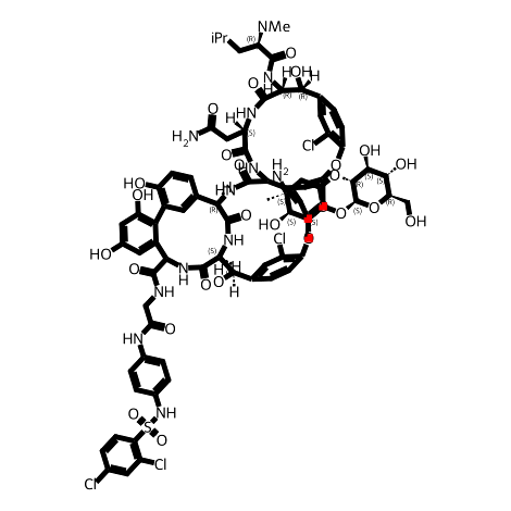 CN[C@H](CC(C)C)C(=O)N[C@H]1C(=O)N[C@@H](CC(N)=O)C(=O)NC2C(=O)N[C@H]3C(=O)N[C@H](C(=O)NC(C(=O)NCC(=O)Nc4ccc(NS(=O)(=O)c5ccc(Cl)cc5Cl)cc4)c4cc(O)cc(O)c4-c4cc3ccc4O)[C@H](O)c3ccc(c(Cl)c3)Oc3cc2cc(c3O[C@@H]2O[C@H](CO)[C@@H](O)[C@H](O)[C@H]2OC2C[C@](C)(N)[C@H](O)[C@H](C)O2)Oc2ccc(cc2Cl)[C@H]1O